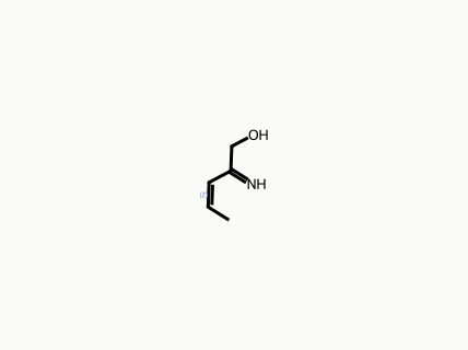 C/C=C\C(=N)CO